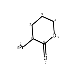 CCC[C]1CCCOC1=O